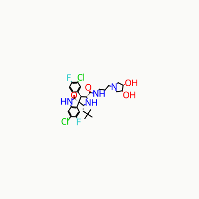 CC(C)(C)C[C@H]1N[C@@H](C(=O)NCCCN2C[C@@H](O)[C@@H](O)C2)[C@H](c2ccc(F)c(Cl)c2)[C@@]12C(=O)Nc1cc(Cl)c(F)cc12